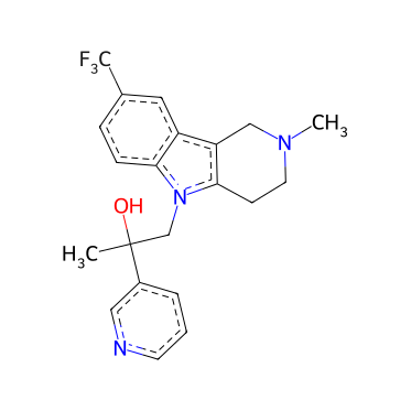 CN1CCc2c(c3cc(C(F)(F)F)ccc3n2CC(C)(O)c2cccnc2)C1